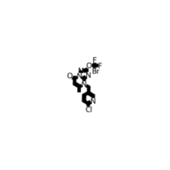 Cc1cc(=O)n2nc(OC(F)(F)Br)nc2n1Cc1ccc(Cl)nc1